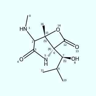 CNC1C(=O)N[C@@]2([C@@H](O)C(C)C)C(=O)O[C@@]12C